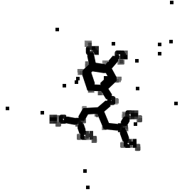 CN(C)CC(CN(C)C)Oc1ccc(C#N)c(C#N)c1